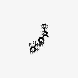 Cc1cc(-c2ncco2)sc1-c1ccc(NC(=O)c2c(F)cncc2F)nc1